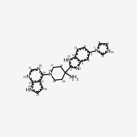 NC1(c2nc3cc(-n4ccnc4)ccc3[nH]2)CCN(c2ncnc3[nH]ccc23)CC1